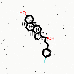 C[C@]12CC[C@H](O)C[C@@H]1CC[C@@H]1[C@@H]2CC[C@@]2(C)[C@H]1CC[C@@H]2[C@@](C)(O)CCc1ccc(F)cc1